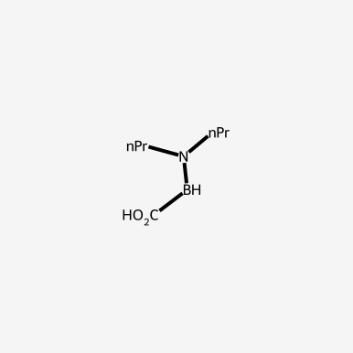 CCCN(BC(=O)O)CCC